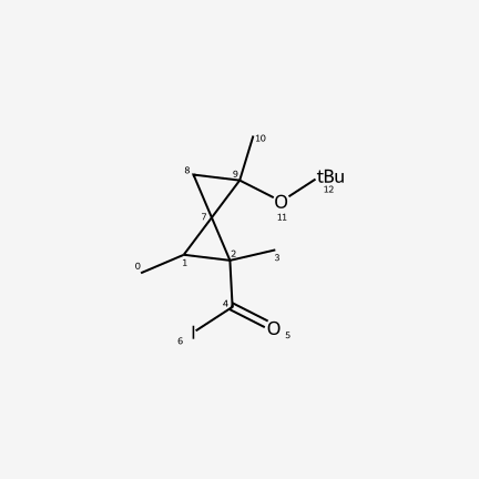 CC1C(C)(C(=O)I)C12CC2(C)OC(C)(C)C